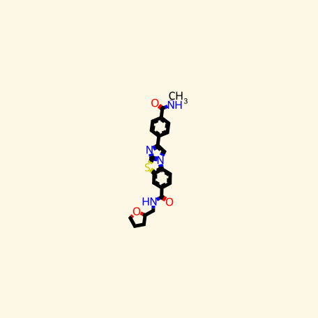 CNC(=O)c1ccc(-c2cn3c(n2)sc2cc(C(=O)NCC4CCCO4)ccc23)cc1